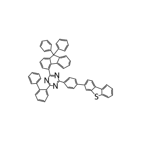 c1ccc(-c2ccccc2-c2nc(-c3ccc(-c4ccc5c(c4)sc4ccccc45)cc3)nc(-c3cccc4c3-c3ccccc3C4(c3ccccc3)c3ccccc3)n2)cc1